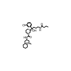 CCCC(=O)NCCC[C@@](O)(c1cccc(Cl)c1)[C@@H]1CCCN(C(=O)NC(CNC)CC2CCCCC2)C1